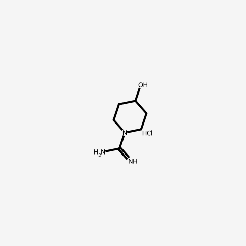 Cl.N=C(N)N1CCC(O)CC1